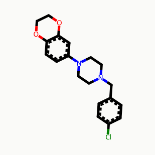 Clc1ccc(CN2CCN(c3ccc4c(c3)OCCO4)CC2)cc1